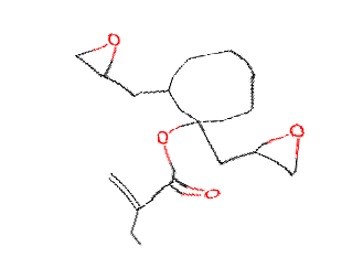 C=C(C)C(=O)OC1(CC2CO2)CCCCC1CC1CO1